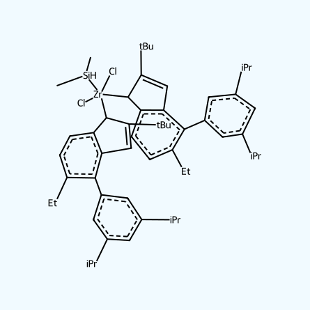 CCc1ccc2c(c1-c1cc(C(C)C)cc(C(C)C)c1)C=C(C(C)(C)C)[CH]2[Zr]([Cl])([Cl])([CH]1C(C(C)(C)C)=Cc2c1ccc(CC)c2-c1cc(C(C)C)cc(C(C)C)c1)[SiH](C)C